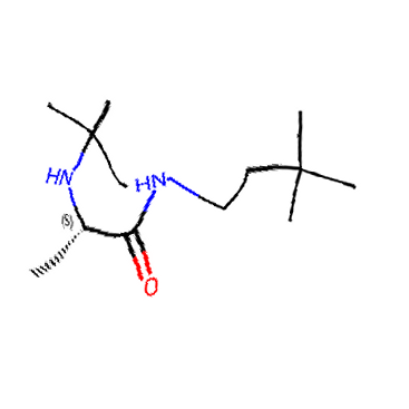 C[C@H](NC(C)(C)C)C(=O)NCCC(C)(C)C